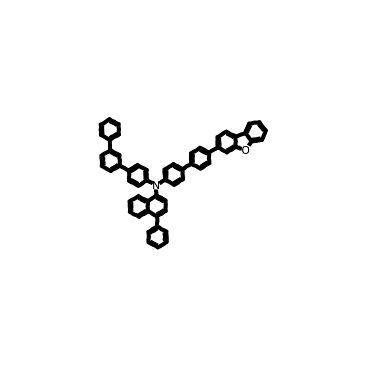 c1ccc(-c2cccc(-c3ccc(N(c4ccc(-c5ccc(-c6ccc7c(c6)oc6ccccc67)cc5)cc4)c4ccc(-c5ccccc5)c5ccccc45)cc3)c2)cc1